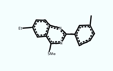 CCc1ccc2nc(-c3cccc(C)c3)nc(SC)c2c1